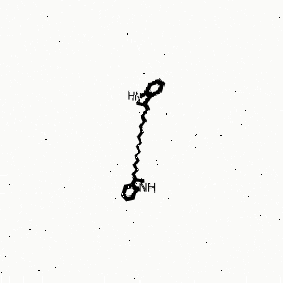 c1ccc2c(CCCCCCCCCCCCCCc3c[nH]c4ccccc34)c[nH]c2c1